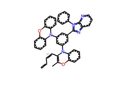 C=C/C=C\C1=C(C)Oc2ccccc2N1c1cc(-c2nc3cccnc3n2-c2ccccc2)cc(N2c3ccccc3Oc3ccccc32)c1